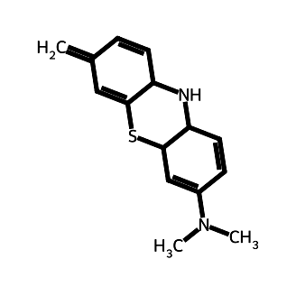 C=C1C=CC2NC3C=CC(N(C)C)=CC3SC2=C1